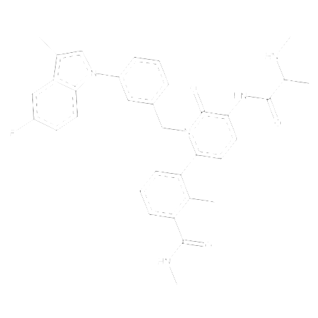 CNC(=O)c1cccc(-c2ccc(NC(=O)C(C)NC)c(=O)n2Cc2cccc(-n3cc(C)c4cc(F)ccc43)c2)c1C